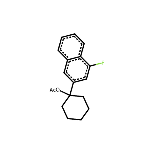 CC(=O)OC1(c2cc(F)c3ccccc3c2)CCCCC1